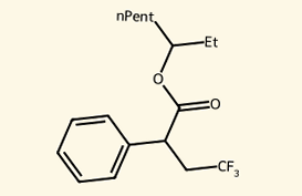 CCCCCC(CC)OC(=O)C(CC(F)(F)F)c1ccccc1